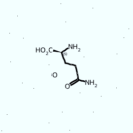 NC(=O)CC[C@H](N)C(=O)O.[O]